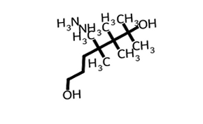 CC(C)(O)C(C)(C)C(C)(C)CCCO.N.N